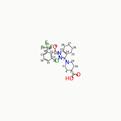 O=C(O)C1CCN(c2nn(C(=O)c3c(Cl)cccc3C(F)(F)F)c3c2CCCC3)CC1